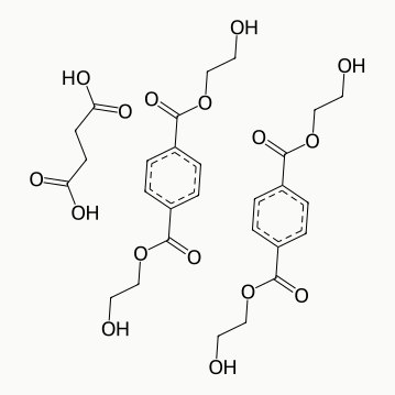 O=C(O)CCC(=O)O.O=C(OCCO)c1ccc(C(=O)OCCO)cc1.O=C(OCCO)c1ccc(C(=O)OCCO)cc1